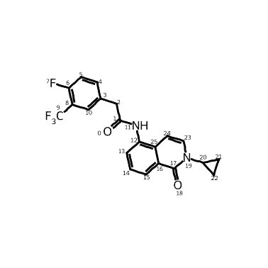 O=C(Cc1ccc(F)c(C(F)(F)F)c1)Nc1cccc2c(=O)n(C3CC3)ccc12